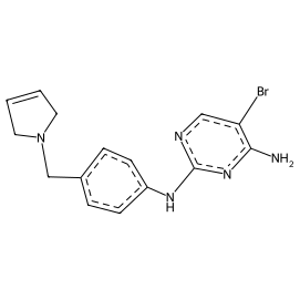 Nc1nc(Nc2ccc(CN3CC=CC3)cc2)ncc1Br